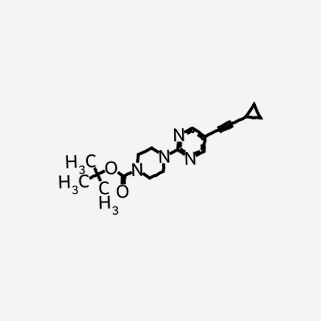 CC(C)(C)OC(=O)N1CCN(c2ncc(C#CC3CC3)cn2)CC1